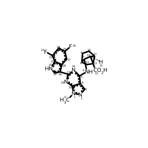 Cn1ncc2c(NC3C4CCC(CC4)[C@H]3C(=O)O)nc(-c3c[nH]c4c(F)cc(F)cc34)nc21